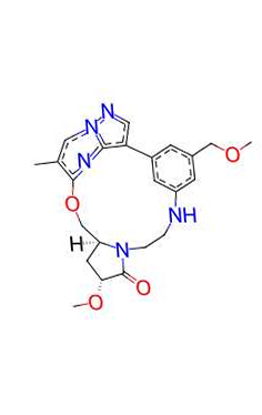 COCc1cc2cc(c1)-c1cnn3cc(C)c(nc13)OC[C@@H]1C[C@@H](OC)C(=O)N1CCN2